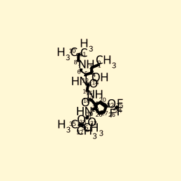 CCC[C@H](O)[C@H](CNCC(C)C)NC(=O)CNC(=O)c1cc(OC(F)(F)F)ccc1NC(=O)OC(C)(C)C